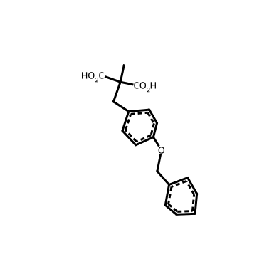 CC(Cc1ccc(OCc2ccccc2)cc1)(C(=O)O)C(=O)O